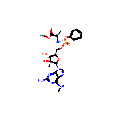 CC(C)OC(=O)[C@@H](C)N[P@@](=O)(OC[C@H]1O[C@@H](n2cnc3c(N(C)C)nc(N)nc32)[C@](C)(O)[C@@H]1O)Oc1ccccc1